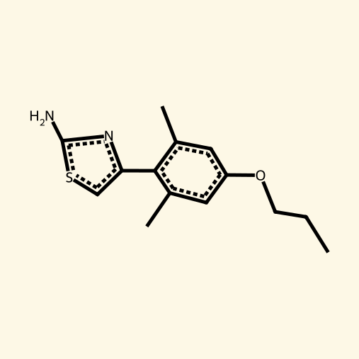 CCCOc1cc(C)c(-c2csc(N)n2)c(C)c1